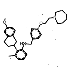 COc1ccc2c(c1)CCC(c1c(C)cccc1NCc1ccc(OCCN3CCCCCC3)cc1)C2